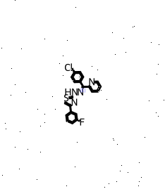 Fc1cccc(-c2csc(N/N=C(\c3ccc(Cl)cc3)c3ccccn3)n2)c1